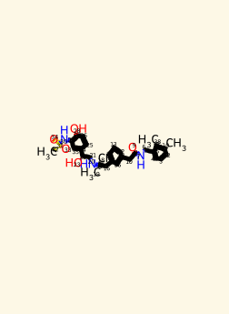 Cc1cccc(CNC(=O)Cc2cccc(CC(C)(C)NC[C@H](O)c3ccc(O)c(NS(C)(=O)=O)c3)c2)c1C